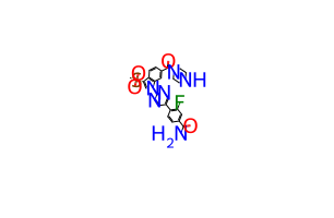 CS(=O)(=O)c1cn(-c2ncc(-c3ccc(C(N)=O)cc3F)cn2)c2cc(C(=O)N3CCNCC3)ccc12